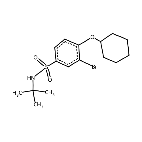 CC(C)(C)NS(=O)(=O)c1ccc(OC2CCCCC2)c(Br)c1